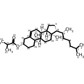 CC(C)CCC[C@@H](C)[C@H]1CC[C@H]2[C@@H]3CC=C4C[C@@H](OC(=O)C(C)C)CC[C@]4(C)[C@H]3CC[C@]12C